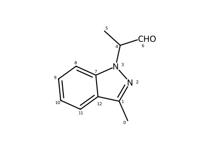 Cc1nn(C(C)C=O)c2ccccc12